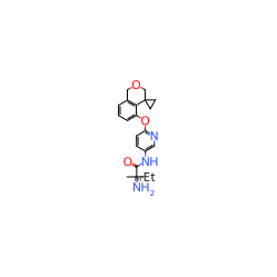 CC[C@](C)(N)C(=O)Nc1ccc(Oc2cccc3c2C2(CC2)COC3)nc1